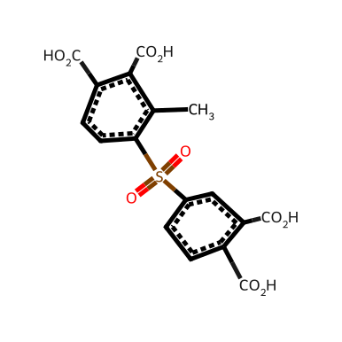 Cc1c(S(=O)(=O)c2ccc(C(=O)O)c(C(=O)O)c2)ccc(C(=O)O)c1C(=O)O